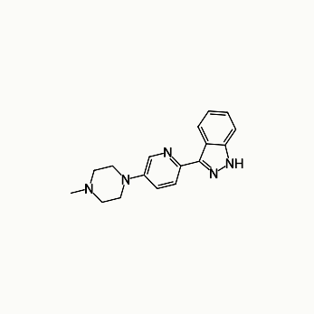 CN1CCN(c2ccc(-c3n[nH]c4ccccc34)nc2)CC1